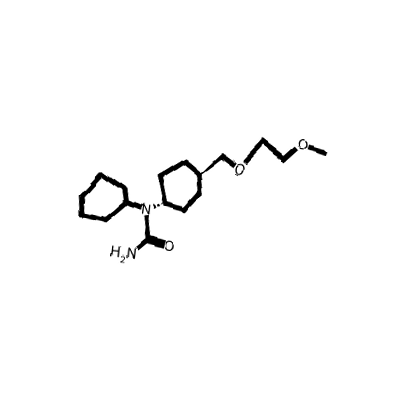 COCCOC[C@H]1CC[C@H](N(C(N)=O)C2CCCCC2)CC1